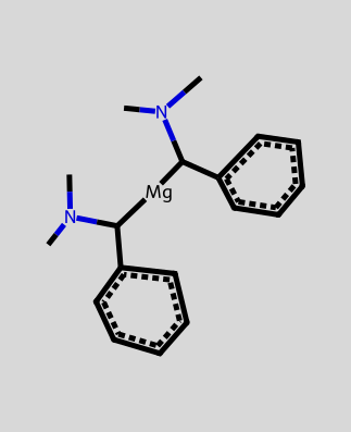 CN(C)[CH]([Mg][CH](c1ccccc1)N(C)C)c1ccccc1